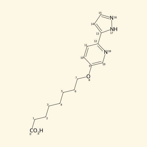 O=C(O)CCCCCCCOc1ccc(-c2ccn[nH]2)nc1